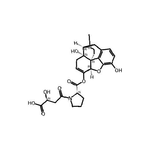 CN1CC[C@]23c4c5ccc(O)c4O[C@H]2C(OC(=O)[C@@H]2CCCN2C(=O)C[C@H](O)C(=O)O)=CC[C@@]3(O)[C@H]1C5